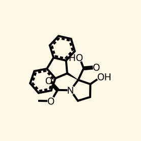 COC(=O)N1CCC(O)[C@]1(C(=O)O)C1c2ccccc2-c2ccccc21